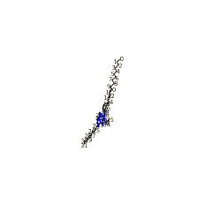 CCCCCCCCCCCCCCCCCCCN1C=CN(CCCCCCCCC)C1C(C)C